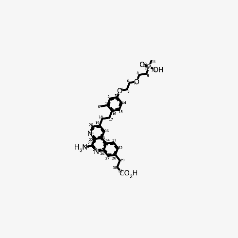 Cc1cc(OCCOCCP(C)(=O)O)ccc1CCc1cnc2c(N)nc3cc(CCC(=O)O)ccc3c2c1